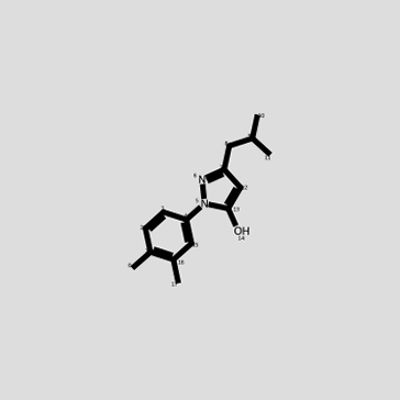 Cc1ccc(-n2nc(CC(C)C)cc2O)cc1C